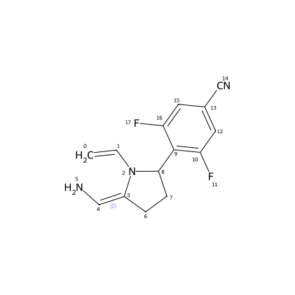 C=CN1/C(=C\N)CCC1c1c(F)cc(C#N)cc1F